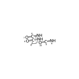 CC.N=C=O.N=C=O.N=C=O